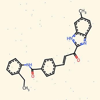 CCc1ccccc1NC(=O)c1ccc(C=CC(=O)c2nc3ccc(C)cc3[nH]2)cc1